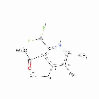 COC(=O)c1c(C(F)F)nc(C(F)(F)F)c(C(C)=O)c1CC(C)C